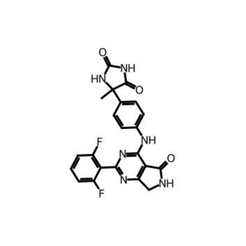 CC1(c2ccc(Nc3nc(-c4c(F)cccc4F)nc4c3C(=O)NC4)cc2)NC(=O)NC1=O